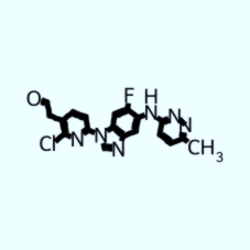 Cc1ccc(Nc2cc3ncn(-c4ccc(CC=O)c(Cl)n4)c3cc2F)nn1